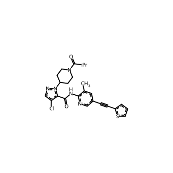 Cc1cc(C#Cc2cccs2)cnc1NC(=O)c1c(Cl)cnn1C1CCN(C(=O)C(C)C)CC1